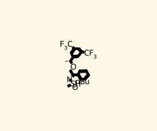 CCCC[SH](C)(=O)/N=C(/CO[C@H](C)c1cc(C(F)(F)F)cc(C(F)(F)F)c1)c1ccccc1